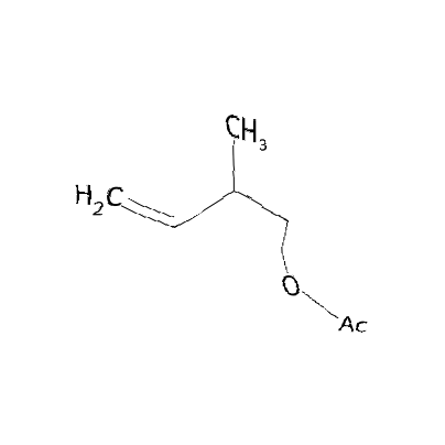 C=CC(C)COC(C)=O